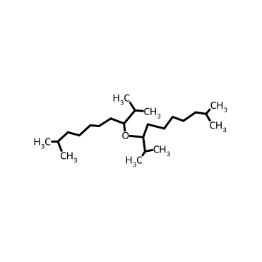 CC(C)CCCCCC(OC(CCCCCC(C)C)C(C)C)C(C)C